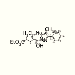 CCOC(=O)CCc1c(C)nc2c(C)c(-c3ccccc3)nn2c1O